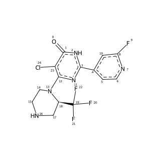 O=c1[nH]c(-c2ccnc(F)c2)nc(N2CCNC[C@@H]2C(F)(F)F)c1Cl